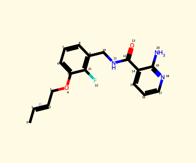 C/C=C/COc1cccc(CNC(=O)c2cccnc2N)c1F